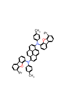 Cc1ccc(N(c2ccc3ccc4c(N(c5ccc(C)cc5)c5cccc6c5oc5c(C(C)C)cccc56)ccc5ccc2c3c54)c2cccc3c2oc2c(C(C)C)cccc23)cc1